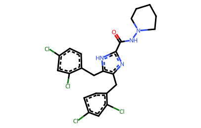 O=C(NN1CCCCC1)c1nc(Cc2ccc(Cl)cc2Cl)c(Cc2ccc(Cl)cc2Cl)[nH]1